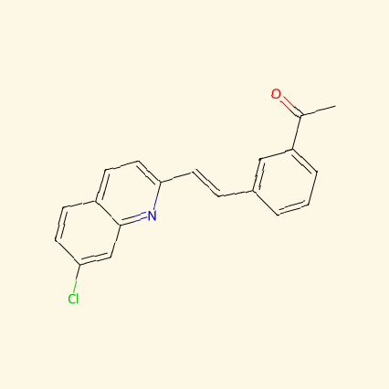 CC(=O)c1cccc(C=Cc2ccc3ccc(Cl)cc3n2)c1